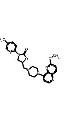 COc1ccc2nccc(N3CCN(CC4CN(c5ccc(C)cn5)C(=O)O4)CC3)c2n1